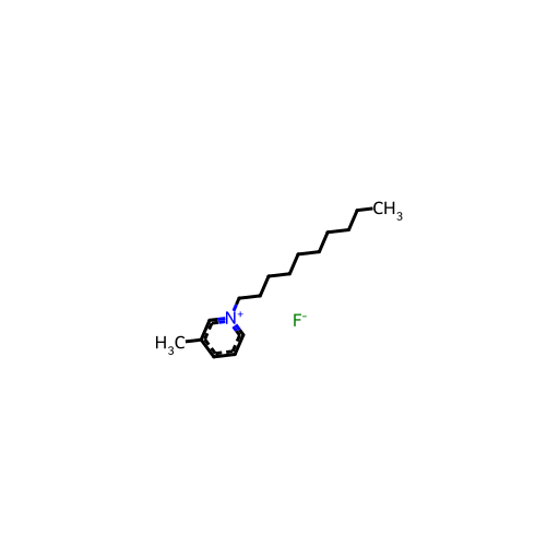 CCCCCCCCCC[n+]1cccc(C)c1.[F-]